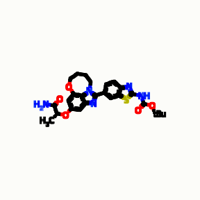 C[C@H](Oc1cc2c3c(c1)nc(-c1ccc4nc(NC(=O)OC(C)(C)C)sc4c1)n3CCCCO2)C(N)=O